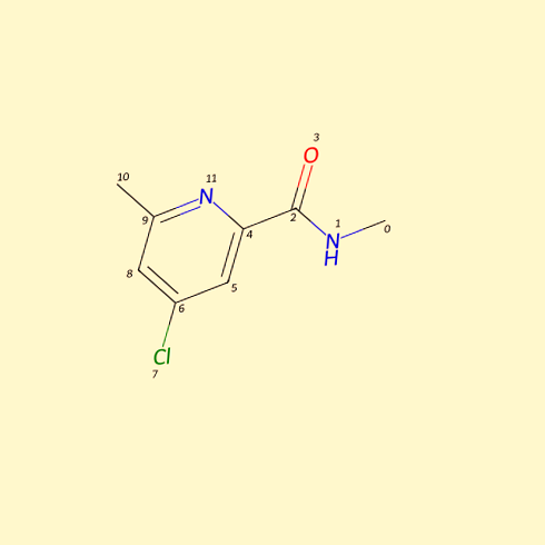 CNC(=O)c1cc(Cl)cc(C)n1